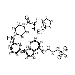 CCN1CCC[C@H]1CNC(=O)[C@H]1CC[C@H](Nc2nccc(-n3ccc4c(OCCCS(C)(=O)=O)cccc43)n2)CC1